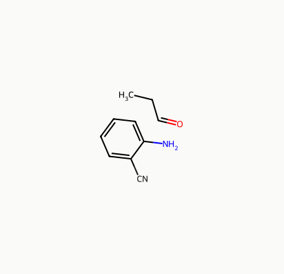 CCC=O.N#Cc1ccccc1N